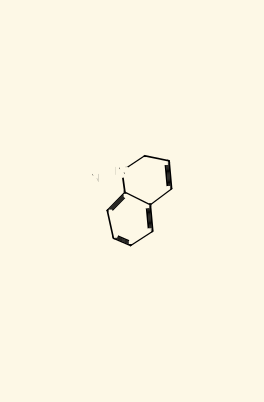 C1=Cc2ccccc2NC1.[N]